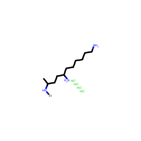 CCNC(C)CCC(N)CCCCCCN.Cl.Cl.Cl.Cl